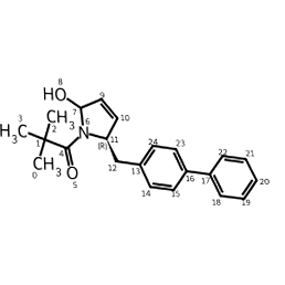 CC(C)(C)C(=O)N1C(O)C=C[C@H]1Cc1ccc(-c2ccccc2)cc1